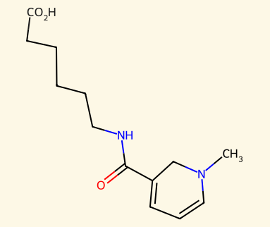 CN1C=CC=C(C(=O)NCCCCCC(=O)O)C1